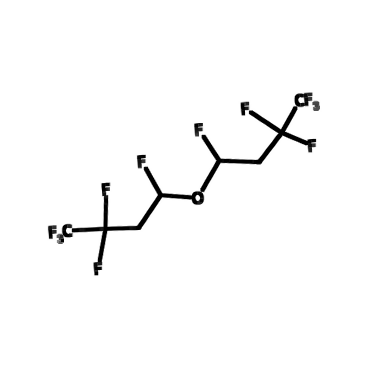 FC(CC(F)(F)C(F)(F)F)OC(F)CC(F)(F)C(F)(F)F